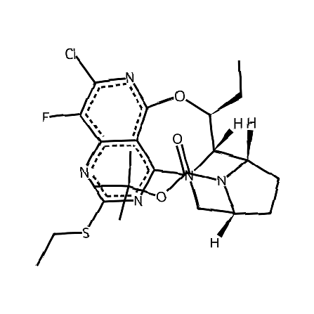 CCSc1nc2c3c(nc(Cl)c(F)c3n1)O[C@@H](CC)[C@@H]1[C@@H]3CC[C@H](CN21)N3C(=O)OC(C)(C)C